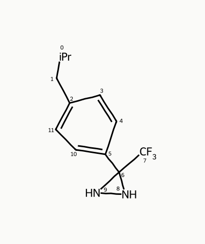 CC(C)Cc1ccc(C2(C(F)(F)F)NN2)cc1